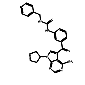 Nc1ncnc2c1c(C(=O)c1cccc(NC(=O)NCc3ccncc3)c1)cn2C1CCCC1